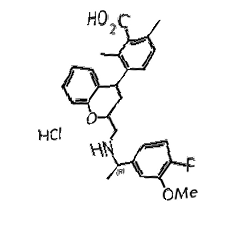 COc1cc([C@@H](C)NCC2CC(c3ccc(C)c(C(=O)O)c3C)c3ccccc3O2)ccc1F.Cl